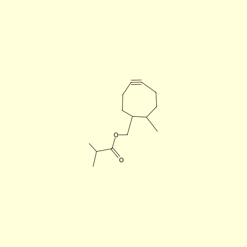 CC(C)C(=O)OCC1CCC#CCCC1C